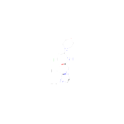 Cc1n(C)cc[n+]1CC(=O)NC(C)N1CCOCC1.[Cl-]